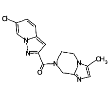 Cc1cnc2n1CCN(C(=O)c1cc3ccc(Cl)cn3n1)C2